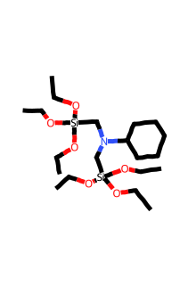 CCO[Si](CN(C[Si](OCC)(OCC)OCC)C1CCCCC1)(OCC)OCC